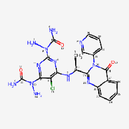 C[C@H](Nc1nc(N(N)C(N)=O)nc(N(N)C(N)=O)c1Cl)c1nc2ccccc2c(=O)n1-c1cccnc1